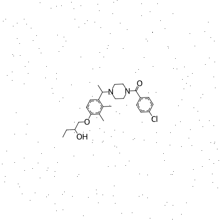 CCC(O)COc1ccc(C(C)N2CCN(C(=O)c3ccc(Cl)cc3)CC2)c(C)c1C